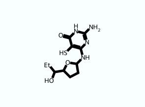 CCC(O)C1CCC(Nc2nc(N)[nH]c(=O)c2S)O1